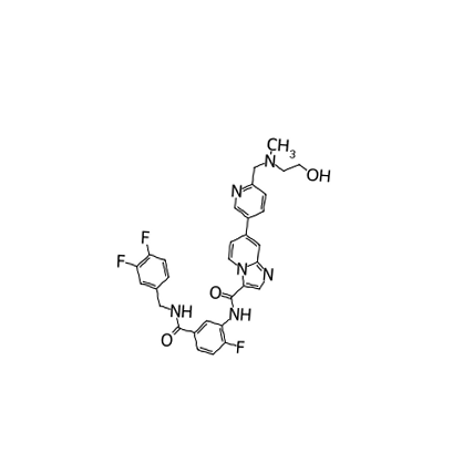 CN(CCO)Cc1ccc(-c2ccn3c(C(=O)Nc4cc(C(=O)NCc5ccc(F)c(F)c5)ccc4F)cnc3c2)cn1